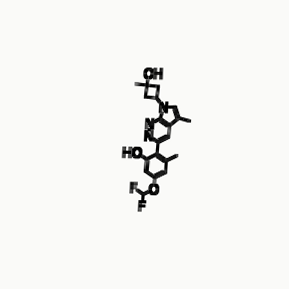 Cc1cc(OC(F)F)cc(O)c1-c1cc2c(C)cn(C3CC(C)(O)C3)c2nn1